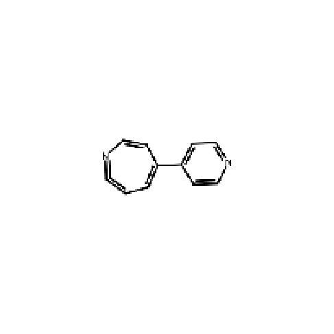 C1=CC=C(c2ccncc2)C=CN=1